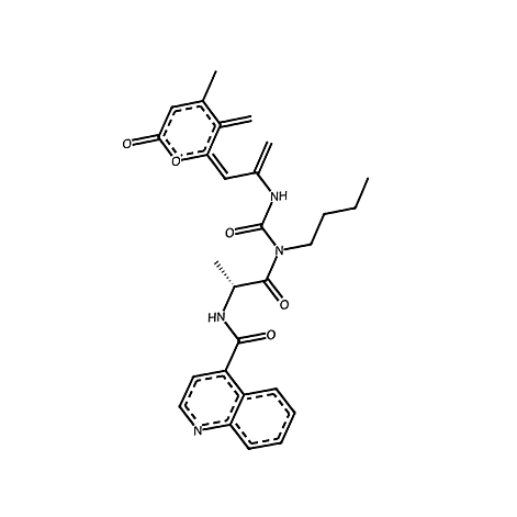 C=C(/C=c1/oc(=O)cc(C)c1=C)NC(=O)N(CCCC)C(=O)[C@@H](C)NC(=O)c1ccnc2ccccc12